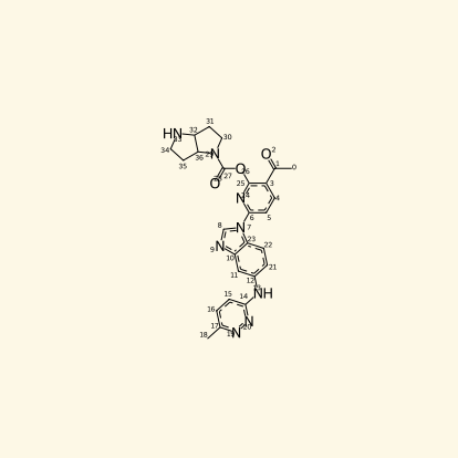 CC(=O)c1ccc(-n2cnc3cc(Nc4ccc(C)nn4)ccc32)nc1OC(=O)N1CCC2NCCC21